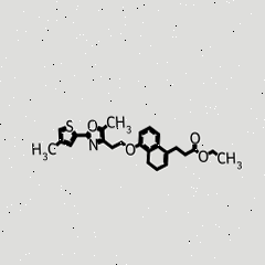 CCOC(=O)CCC1=CCCc2c(OCCc3nc(-c4cc(C)cs4)oc3C)cccc21